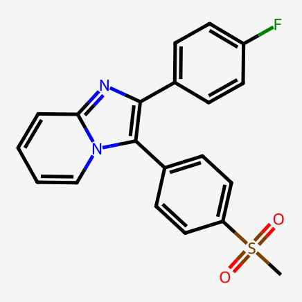 CS(=O)(=O)c1ccc(-c2c(-c3ccc(F)cc3)nc3ccccn23)cc1